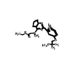 CCNC(=O)CN(C)c1nc(-c2cc(OCC(C)(C)C)ccn2)nc2c1CCC2